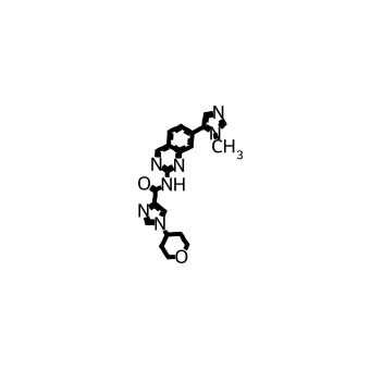 Cn1cncc1-c1ccc2cnc(NC(=O)c3cn(C4CCOCC4)cn3)nc2c1